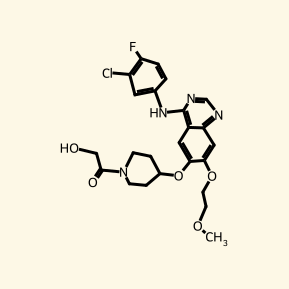 COCCOc1cc2ncnc(Nc3ccc(F)c(Cl)c3)c2cc1OC1CCN(C(=O)CO)CC1